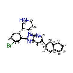 Brc1cccc(-c2nc3cc(-c4ccc5ccccc5c4)cnc3n2C2CCNCC2)c1